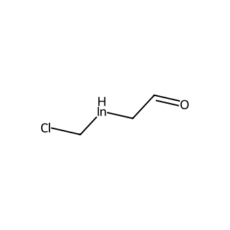 O=C[CH2][InH][CH2]Cl